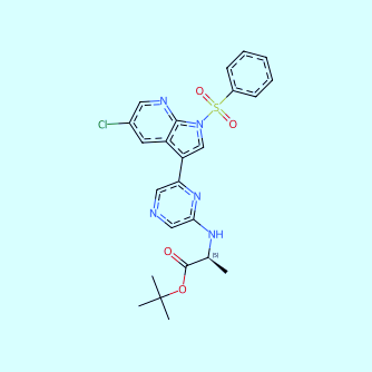 C[C@H](Nc1cncc(-c2cn(S(=O)(=O)c3ccccc3)c3ncc(Cl)cc23)n1)C(=O)OC(C)(C)C